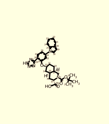 CC(C)(C)OC(=O)N1C[C@@H]2CC[C@H](Oc3cc(-n4ccc5ccccc54)ccc3-c3nn[nH]n3)C[C@@H]2C[C@H]1C(=O)O